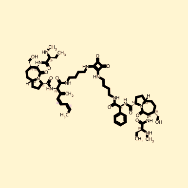 C=C(/C=C\C=C/C)[C@H](NC(=O)[C@@H]1CC[C@@H]2CC[C@H](CO)[C@H](NC(=O)[C@H](CC)NC)C(=O)N21)C(=O)NCCCCNc1c(NCCCCNC(=O)[C@@H](NC(=O)[C@@H]2CC[C@@H]3CC[C@H](CO)[C@H](NC(=O)[C@H](CC)NC)C(=O)N32)c2ccccc2)c(=O)c1=O